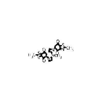 Cc1nc2c(s1)C(=O)C=C(N1CCC1N(C)C1CCN1C1=CC(=O)c3sc(C)nc3C1=O)C2=O